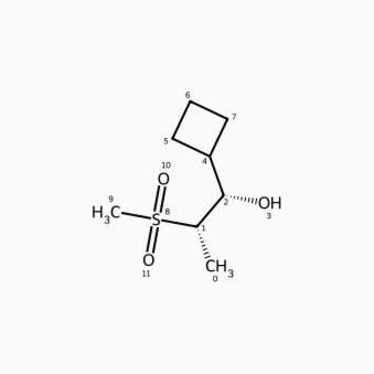 C[C@@H]([C@@H](O)C1CCC1)S(C)(=O)=O